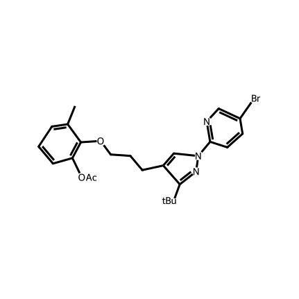 CC(=O)Oc1cccc(C)c1OCCCc1cn(-c2ccc(Br)cn2)nc1C(C)(C)C